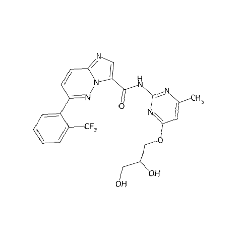 Cc1cc(OCC(O)CO)nc(NC(=O)c2cnc3ccc(-c4ccccc4C(F)(F)F)nn23)n1